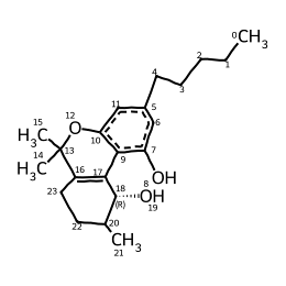 CCCCCc1cc(O)c2c(c1)OC(C)(C)C1=C2[C@H](O)C(C)CC1